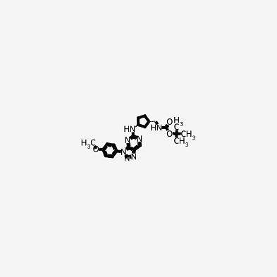 COc1ccc(-n2nnc3cnc(N[C@@H]4CC[C@H](CNC(=O)OC(C)(C)C)C4)nc32)cc1